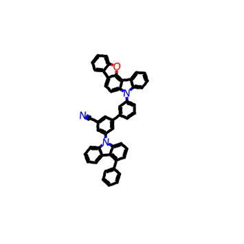 N#Cc1cc(-c2cccc(-n3c4ccccc4c4c5oc6ccccc6c5ccc43)c2)cc(-n2c3ccccc3c3c(-c4ccccc4)cccc32)c1